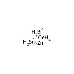 [BiH3].[GeH4].[SnH2].[Zn]